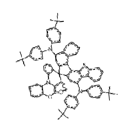 CC(C)(C)c1ccc(N(c2ccc(C(C)(C)C)cc2)c2cc3c(c4ccccc24)-c2c(cc(N(c4ccc(C(C)(C)C)cc4)c4ccc(C(C)(C)C)cc4)c4c2sc2ccccc24)C32c3ccccc3N3c4ccccc4Oc4cccc2c43)cc1